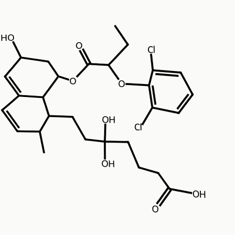 CCC(Oc1c(Cl)cccc1Cl)C(=O)OC1CC(O)C=C2C=CC(C)C(CCC(O)(O)CCCC(=O)O)C21